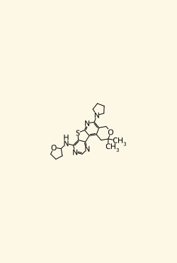 CC1(C)Cc2c(c(N3CCCC3)nc3sc4c(NC5CCCO5)ncnc4c23)CO1